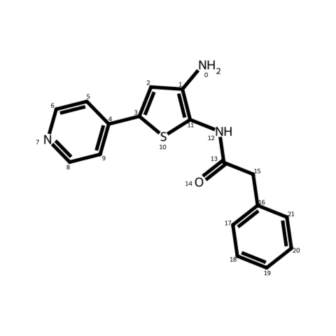 Nc1cc(-c2ccncc2)sc1NC(=O)Cc1ccccc1